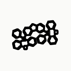 c1ccc([Si]2(c3ccc4c(c3)-c3cc([Si]5(c6ccccc6)c6ccccc6Oc6ccccc65)ccc3C4)c3ccccc3Oc3ccccc32)cc1